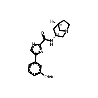 COc1cccc(-c2cnc(C(=O)N[C@@H]3C[C@H]4CCN(C4)C3)s2)c1